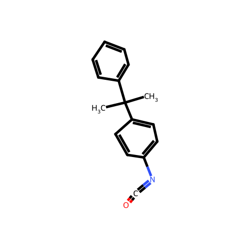 CC(C)(c1ccccc1)c1ccc(N=C=O)cc1